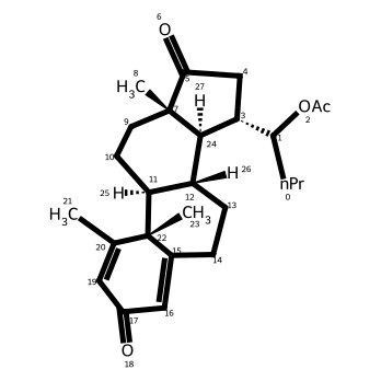 CCCC(OC(C)=O)[C@H]1CC(=O)[C@@]2(C)CC[C@H]3[C@@H](CCC4=CC(=O)C=C(C)[C@@]43C)[C@H]12